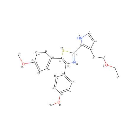 CCOCCc1cc[nH]c1-c1nc(-c2ccc(OC)cc2)c(-c2ccc(OC)cc2)s1